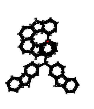 c1ccc2c(c1)oc1cc(N(c3ccc(-c4cccc5sc6ccc7ccc8sc9ccccc9c8c7c6c45)cc3)c3ccc4c(c3)oc3ccccc34)ccc12